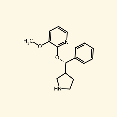 COc1cccnc1O[C@H](c1ccccc1)C1CCNC1